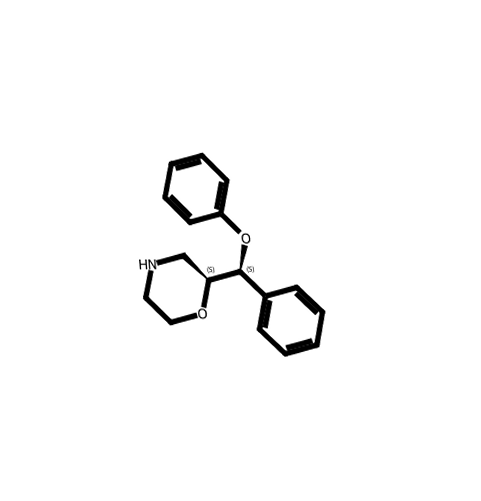 c1ccc(O[C@@H](c2ccccc2)[C@@H]2CNCCO2)cc1